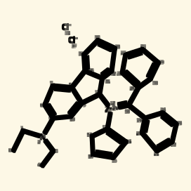 CCN(CC)c1ccc2c(c1)[CH]([Zr+2]([C]1=CC=CC1)=[C](c1ccccc1)c1ccccc1)c1ccccc1-2.[Cl-].[Cl-]